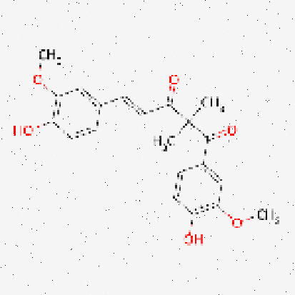 COc1cc(/C=C/C(=O)C(C)(C)C(=O)c2ccc(O)c(OC)c2)ccc1O